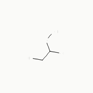 OOC(O)CS